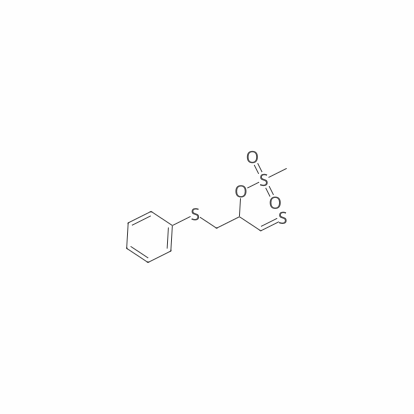 CS(=O)(=O)OC(C=S)CSc1ccccc1